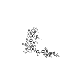 CC1COc2ccccc2N1C(=O)C(Cl)Cl.CCc1cccc(C)c1N(C(=O)CCl)C(C)COC.CS(=O)(=O)NC(=O)c1cc(Oc2ccc(C(F)(F)F)cc2Cl)ccc1[N+](=O)[O-].CS(=O)(=O)c1ccc(C(=O)C2C(=O)CCCC2=O)c([N+](=O)[O-])c1.C[S+](C)C.O=C(O)CNCP(=O)([O-])O